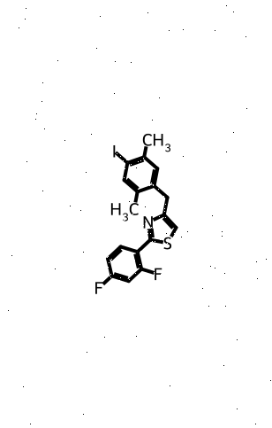 Cc1cc(Cc2csc(-c3ccc(F)cc3F)n2)c(C)cc1I